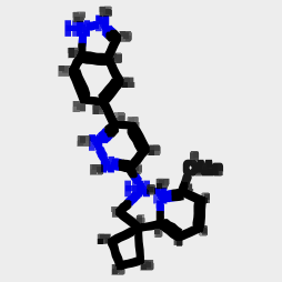 COc1cccc(C2(CNc3ccc(-c4ccc5[nH]ncc5c4)nn3)CCC2)n1